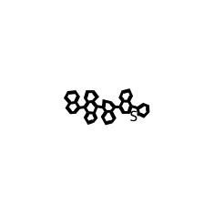 c1ccc2c(-c3c4ccccc4c(-c4ccc(-c5cc6sc7ccccc7c6c6ccccc56)c5ccccc45)c4ccccc34)cccc2c1